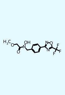 COCC(=O)N(O)Cc1ccc(-c2noc(C(F)(F)F)n2)cc1